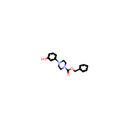 O=C(OCc1ccccc1)N1CCN(c2cccc(O)c2)CC1